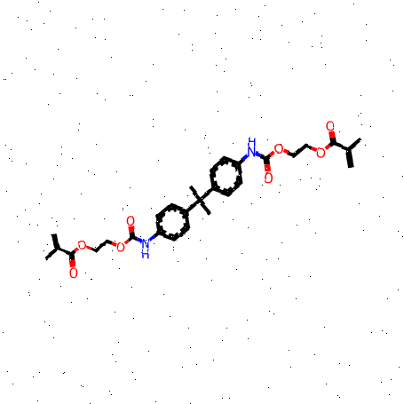 C=C(C)C(=O)OCCOC(=O)Nc1ccc(C(C)(C)c2ccc(NC(=O)OCCOC(=O)C(=C)C)cc2)cc1